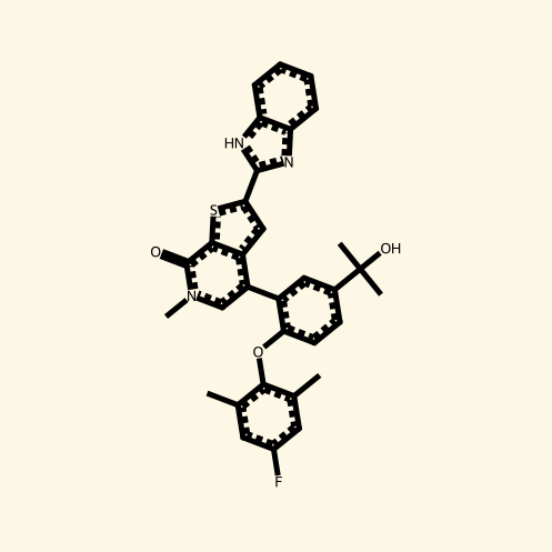 Cc1cc(F)cc(C)c1Oc1ccc(C(C)(C)O)cc1-c1cn(C)c(=O)c2sc(-c3nc4ccccc4[nH]3)cc12